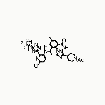 [2H]C([2H])([2H])n1nnc(-c2nc(Cl)ccc2NC(C)c2cc(C)cc3c(=O)n(C)c4c(C5CCN(C(C)=O)CC5)ncn4c23)n1